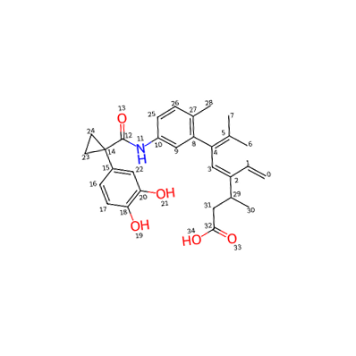 C=C/C(=C\C(=C(C)C)c1cc(NC(=O)C2(c3ccc(O)c(O)c3)CC2)ccc1C)C(C)CC(=O)O